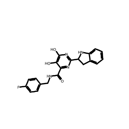 O=C(NCc1ccc(F)cc1)c1nc(C2Cc3ccccc3N2)nc(O)c1O